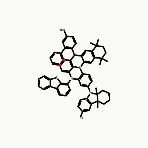 Cc1cc2c3c(c1)N(c1cccc4c1sc1ccccc14)c1cc(N4c5ccc(C(C)(C)C)cc5C5(C)CCCCC45C)ccc1B3c1cc3c(cc1C2c1ccc(C(C)(C)C)cc1-c1ccccc1)C(C)(C)CCC3(C)C